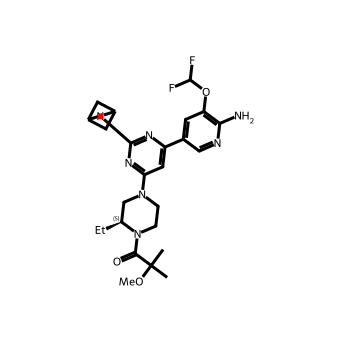 CC[C@H]1CN(c2cc(-c3cnc(N)c(OC(F)F)c3)nc(N3CC4CC3C4)n2)CCN1C(=O)C(C)(C)OC